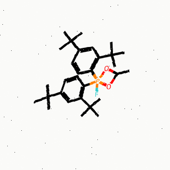 CC1OP(F)(c2ccc(C(C)(C)C)cc2C(C)(C)C)(c2ccc(C(C)(C)C)cc2C(C)(C)C)O1